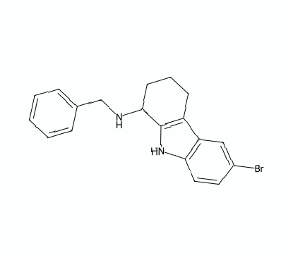 Brc1ccc2[nH]c3c(c2c1)CCCC3NCc1ccccc1